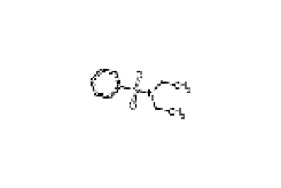 CCN(CC)S(=O)(=O)c1c[c]ccc1